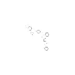 Cc1cccc(F)c1NC(=O)c1cc2c(s1)-c1ccccc1N(C(=O)c1ccc(NC(=O)c3cc4c(nc3N3CC5(CCOCC5)C3)CCCC4)cc1)CC2